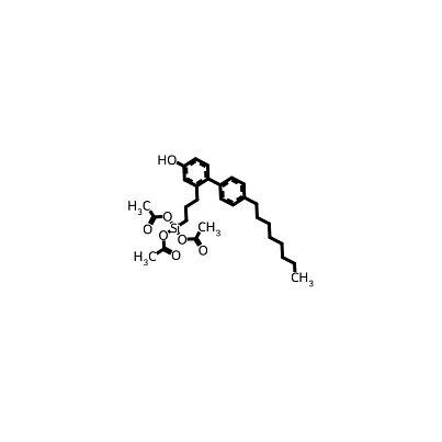 CCCCCCCCc1ccc(-c2ccc(O)cc2CCC[Si](OC(C)=O)(OC(C)=O)OC(C)=O)cc1